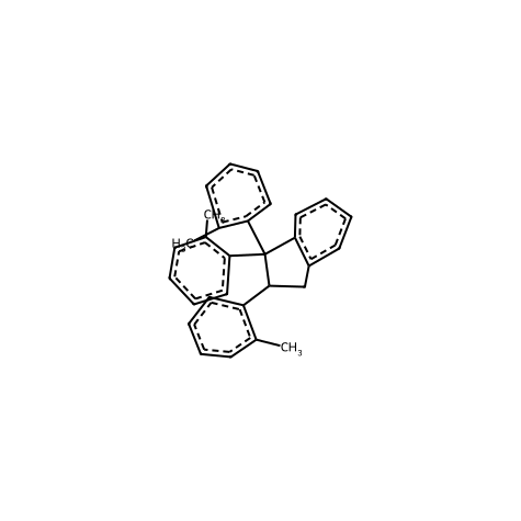 Cc1ccccc1C1Cc2ccccc2C1(c1ccccc1C)c1ccccc1C